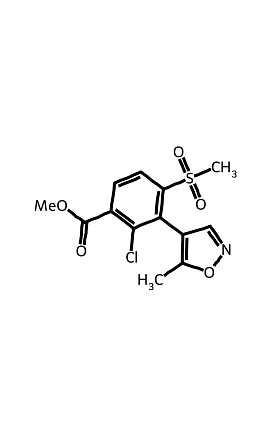 COC(=O)c1ccc(S(C)(=O)=O)c(-c2cnoc2C)c1Cl